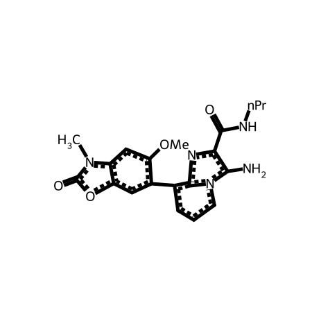 CCCNC(=O)c1nc2c(-c3cc4oc(=O)n(C)c4cc3OC)cccn2c1N